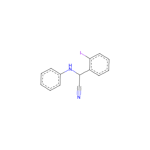 N#CC(Nc1ccccc1)c1ccccc1I